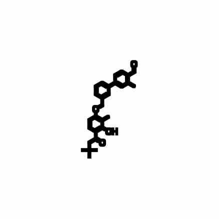 Cc1cc(-c2cccc(COc3ccc(C(=O)CC(C)(C)C)c(O)c3C)c2)ccc1C=O